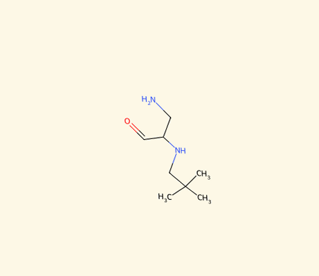 CC(C)(C)CNC(C=O)CN